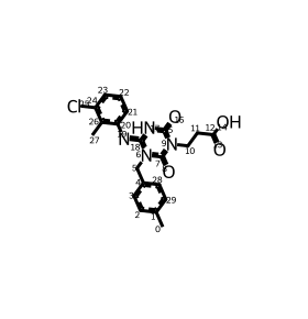 Cc1ccc(Cn2c(=O)n(CCC(=O)O)c(=O)[nH]/c2=N\c2cccc(Cl)c2C)cc1